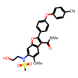 CNC(=O)c1c(-c2ccc(Oc3ccc(C#N)cc3)cc2)oc2cc(N(CCO)S(C)(=O)=O)c(OC)cc12